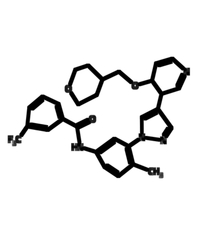 Cc1ccc(NC(=O)c2cccc(C(F)(F)F)c2)cc1-n1cc(C2C=NC=CC2OCC2CCOCC2)cn1